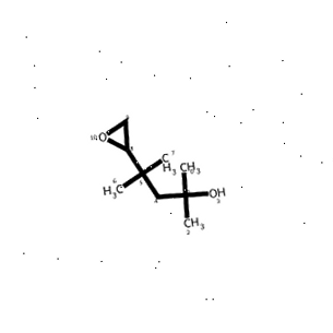 CC(C)(O)CC(C)(C)C1CO1